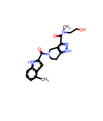 Cc1cccc2[nH]c(C(=O)N3CCc4[nH]nc(C(=O)N(C)CCO)c4C3)cc12